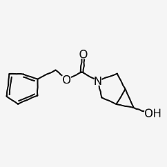 O=C(OCc1ccccc1)N1CC2C(O)C2C1